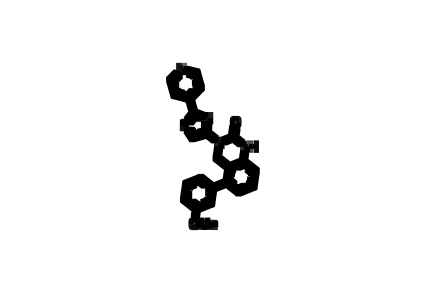 COc1cccc(-c2cccc3c2CN(c2csc(-c4ccncc4)n2)C(=O)N3)c1